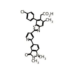 Cc1cc2nc(-c3ccnc(-c4ccc5c(c4)c(=O)n(C)n5C)c3)sc2c(-c2ccc(Cl)cc2)c1CC(=O)O